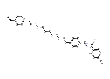 C=Cc1ccc(COCCCCCCCCCCc2ccc(/C=C/C(=O)c3ccc(F)cc3)cc2)cc1